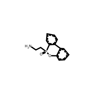 NCCP1(=O)Oc2ccccc2-c2ccccc21